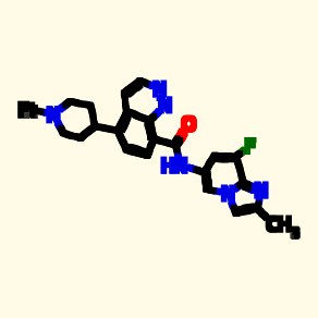 CCN1CCC(c2ccc(C(=O)Nc3cc(F)c4nc(C)cn4c3)c3nnccc23)CC1